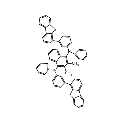 Cc1c(C)c(N(c2ccccc2)c2cccc(-c3cccc4c3sc3ccccc34)c2)c2ccccc2c1N(c1ccccc1)c1cccc(-c2cccc3c2sc2ccccc23)c1